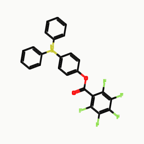 O=C(Oc1ccc([SH](c2ccccc2)c2ccccc2)cc1)c1c(F)c(F)c(F)c(F)c1F